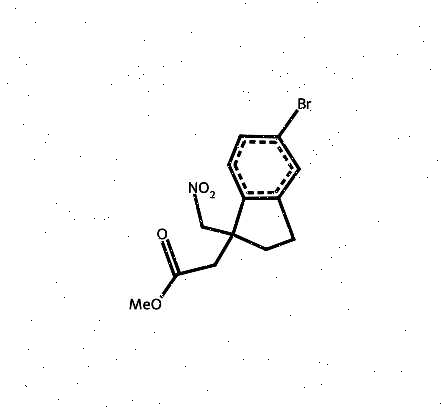 COC(=O)CC1(C[N+](=O)[O-])CCc2cc(Br)ccc21